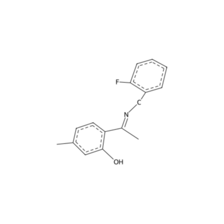 C/C(=N\Cc1ccccc1F)c1ccc(C)cc1O